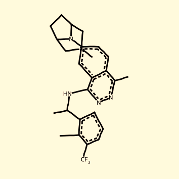 Cc1c(C(C)Nc2nnc(C)c3ccc(N4C5CCC4CN(C)C5)cc23)cccc1C(F)(F)F